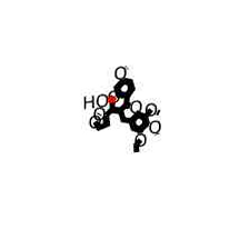 CCOc1cc(CC(C(=O)c2ccc(OC)cc2)=C(C(=O)O)C2=CCOO2)cc(OC)c1OC